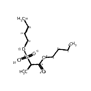 CCCCOC(=O)C(C)S(=O)(=O)OCCCC